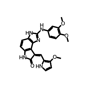 COc1ccc(Nc2nc3c4c(ccc3[nH]2)NC(=O)/C4=C\c2[nH]ccc2OC)cc1OC